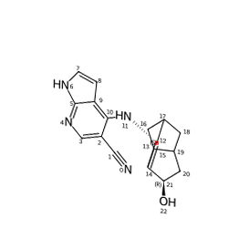 N#Cc1cnc2[nH]ccc2c1N[C@@H]1C=C2C3CC1CC3C[C@H]2O